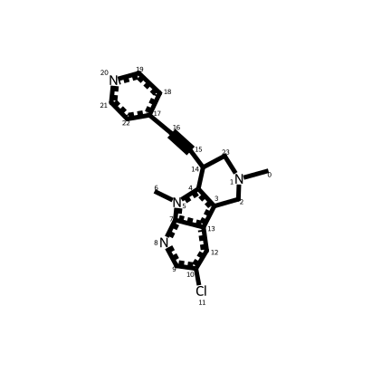 CN1Cc2c(n(C)c3ncc(Cl)cc23)C(C#Cc2ccncc2)C1